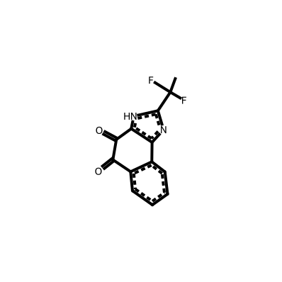 CC(F)(F)c1nc2c([nH]1)C(=O)C(=O)c1ccccc1-2